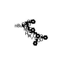 C=C1/C(=C\C=C2/CCC[C@]3(C)[C@@H]([C@H](C)/C=C/[C@H](OC(=O)c4ccccc4)C4(c5ncc(CCCC)o5)CC4)CC[C@@H]23)C[C@@H](OC(=O)c2ccccc2)C[C@@H]1OC(=O)c1ccccc1